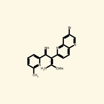 CO/C(N)=C(/C(=N)c1cccc(C)n1)c1ccc2ncc(Br)cc2n1